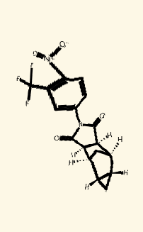 O=C1[C@@H]2[C@H]3C[C@H]([C@@H]4C[C@@H]43)[C@@H]2C(=O)N1c1ccc([N+](=O)[O-])c(C(F)(F)F)c1